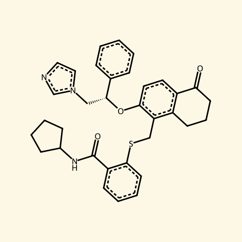 O=C(NC1CCCC1)c1ccccc1SCc1c(O[C@H](Cn2ccnc2)c2ccccc2)ccc2c1CCCC2=O